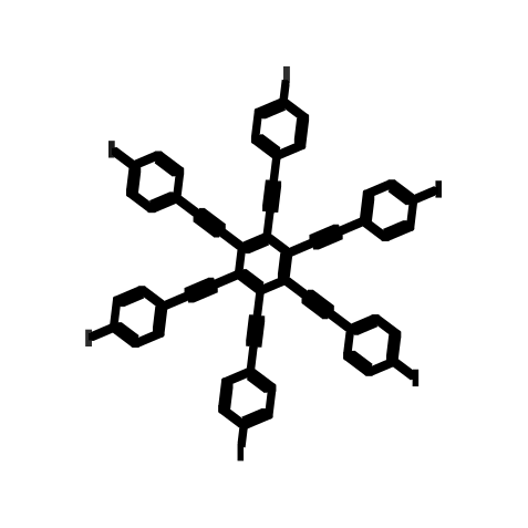 Ic1ccc(C#Cc2c(C#Cc3ccc(I)cc3)c(C#Cc3ccc(I)cc3)c(C#Cc3ccc(I)cc3)c(C#Cc3ccc(I)cc3)c2C#Cc2ccc(I)cc2)cc1